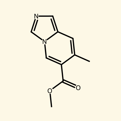 COC(=O)c1cn2cncc2cc1C